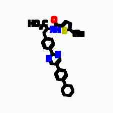 CC(C)(C)c1ccc(C(=O)N[C@@H](Cc2ccc(-c3ncc(-c4ccc(C5CCCCC5)cc4)cn3)cc2)C(=O)O)s1